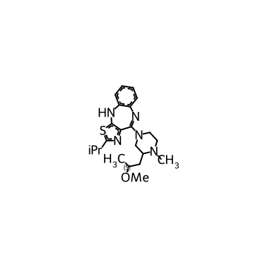 CO[C@@H](C)CC1CN(C2=Nc3ccccc3Nc3sc(C(C)C)nc32)CCN1C